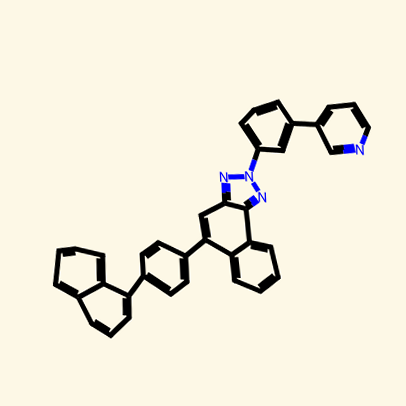 c1cncc(-c2cccc(-n3nc4cc(-c5ccc(-c6cccc7ccccc67)cc5)c5ccccc5c4n3)c2)c1